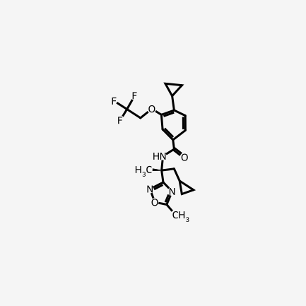 Cc1nc([C@@](C)(CC2CC2)NC(=O)c2ccc(C3CC3)c(OCC(F)(F)F)c2)no1